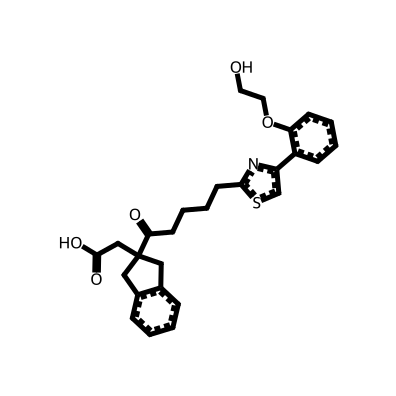 O=C(O)CC1(C(=O)CCCCc2nc(-c3ccccc3OCCO)cs2)Cc2ccccc2C1